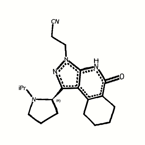 CC(C)N1CCC[C@@H]1c1nn(CCC#N)c2[nH]c(=O)c3c(c12)CCCC3